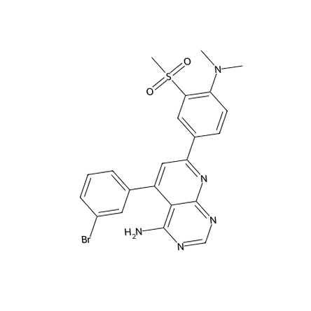 CN(C)c1ccc(-c2cc(-c3cccc(Br)c3)c3c(N)ncnc3n2)cc1S(C)(=O)=O